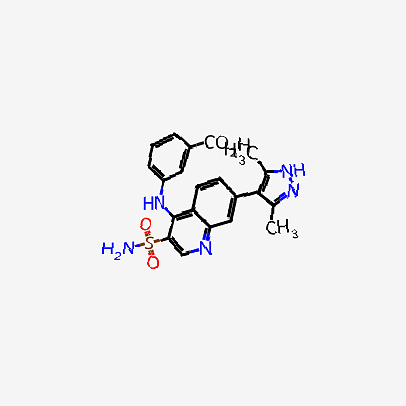 Cc1n[nH]c(C)c1-c1ccc2c(Nc3cccc(C(=O)O)c3)c(S(N)(=O)=O)cnc2c1